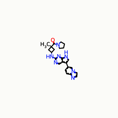 C[C@]1(C(=O)N2CCCC2)C[C@H](Nc2ncc3c(-c4ccc5nccn5c4)c[nH]c3n2)C1